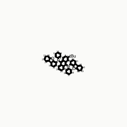 CC(C)(C)c1ccc2c(N(c3ccccc3)c3cccc4c3oc3ccccc34)c3ccccc3c(N(c3ccccc3)c3cccc4c3oc3ccccc34)c2c1